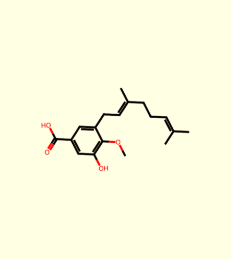 COc1c(O)cc(C(=O)O)cc1C/C=C(\C)CCC=C(C)C